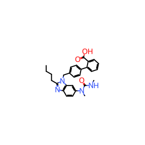 CCCCc1nc2ccc(N(C)C(=O)NC)cc2n1Cc1ccc(-c2ccccc2C(=O)O)cc1